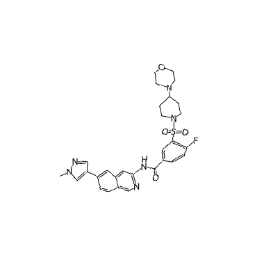 Cn1cc(-c2ccc3cnc(NC(=O)c4ccc(F)c(S(=O)(=O)N5CCC(N6CCOCC6)CC5)c4)cc3c2)cn1